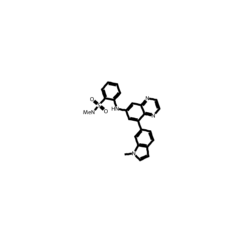 CNS(=O)(=O)c1ccccc1Nc1cc(-c2ccc3ccn(C)c3c2)c2nccnc2c1